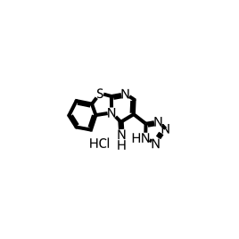 Cl.N=c1c(-c2nnn[nH]2)cnc2sc3ccccc3n12